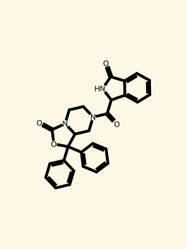 O=C1NC(C(=O)N2CCN3C(=O)OC(c4ccccc4)(c4ccccc4)C3C2)c2ccccc21